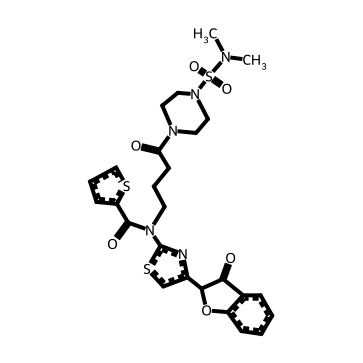 CN(C)S(=O)(=O)N1CCN(C(=O)CCCN(C(=O)c2cccs2)c2nc(C3Oc4ccccc4C3=O)cs2)CC1